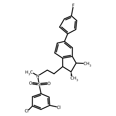 CC1c2cc(-c3ccc(F)cc3)ccc2C(CCN(C)S(=O)(=O)c2cc(Cl)cc(Cl)c2)[C@@H]1C